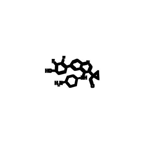 N[C@H]1CC[C@H](Nc2c(C3(C=O)CC3)cnc3ccc(-c4ccc(O)c(F)c4F)cc23)CC1